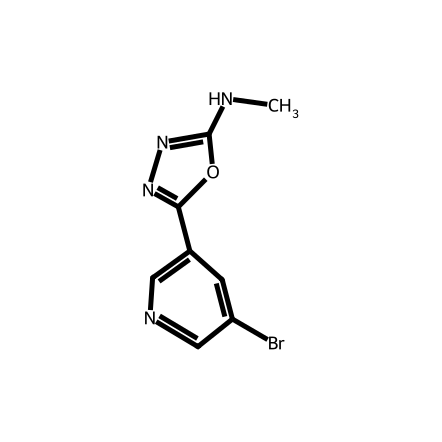 CNc1nnc(-c2cncc(Br)c2)o1